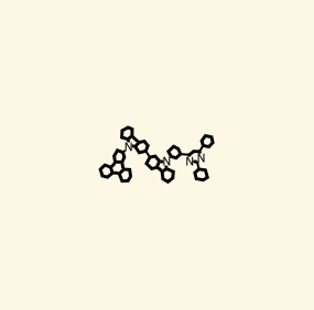 c1ccc(-c2cc(-c3cccc(-n4c5ccccc5c5ccc(-c6ccc7c8ccccc8n(-c8ccc9c%10ccccc%10c%10ccccc%10c9c8)c7c6)cc54)c3)nc(-c3ccccc3)n2)cc1